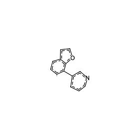 [c]1ccc2ccoc2c1-c1cccnc1